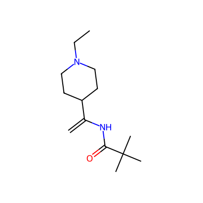 C=C(NC(=O)C(C)(C)C)C1CCN(CC)CC1